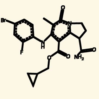 Cc1c(Nc2ccc(Br)cc2F)c(C(=O)OCC2CC2)c2n(c1=O)CCC2C(N)=O